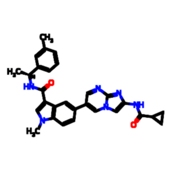 Cc1cccc([C@H](C)NC(=O)c2cn(C)c3ccc(-c4cnc5nc(NC(=O)C6CC6)cn5c4)cc23)c1